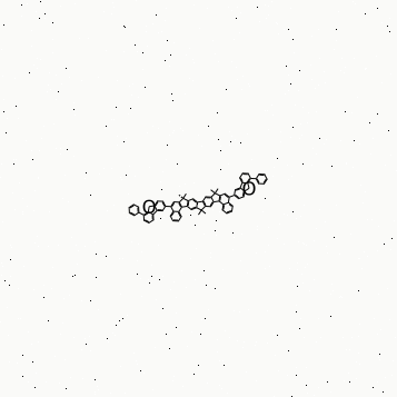 CC1(C)c2cc3c(cc2-c2cc4c(cc21)-c1c(cc(-c2ccc5oc6c(-c7ccccc7)cccc6c5c2)c2ccccc12)C4(C)C)C(C)(C)c1cc(-c2ccc4oc5c(-c6ccccc6)cccc5c4c2)c2ccccc2c1-3